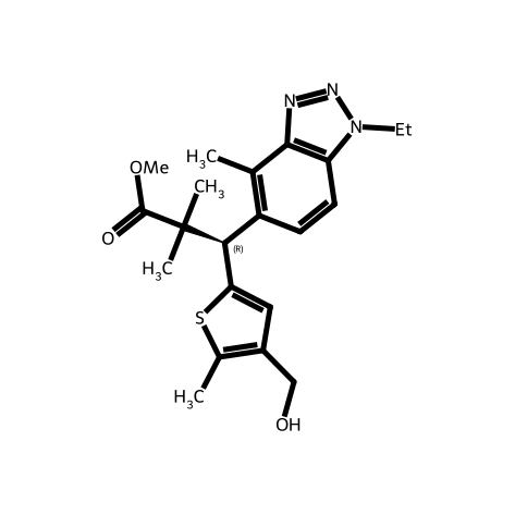 CCn1nnc2c(C)c([C@@H](c3cc(CO)c(C)s3)C(C)(C)C(=O)OC)ccc21